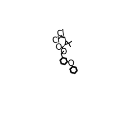 CC1(C)[C@H](C=C(Cl)Cl)[C@@H]1C(=O)OCc1cccc(Oc2ccccc2)c1